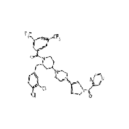 O=C(c1cnccn1)N1CC[C@@H](N2CCN(C3CCN(C(=O)c4cc(C(F)(F)F)cc(C(F)(F)F)c4)C(Cc4ccc(Cl)c(Cl)c4)C3)CC2)C1